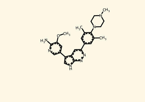 COc1cc(-c2c[nH]c3nnc(-c4cc(C)c(N5CCN(C)CC5)c(C)c4)cc23)cnc1N